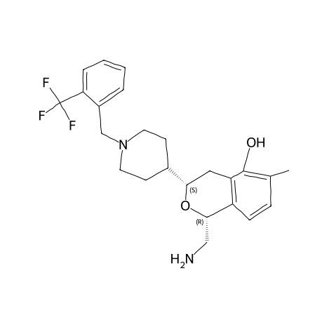 Cc1ccc2c(c1O)C[C@@H](C1CCN(Cc3ccccc3C(F)(F)F)CC1)O[C@H]2CN